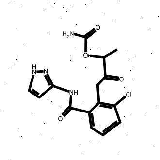 CC(OC(N)=O)C(=O)Cc1c(Cl)cccc1C(=O)Nc1cc[nH]n1